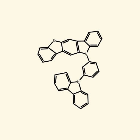 c1cc(-n2c3ccccc3c3ccccc32)cc(-n2c3ccccc3c3cc4sc5ccccc5c4cc32)c1